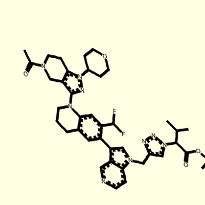 CC(=O)N1CCc2c(c(N3CCCc4cc(-c5cn(Cc6cn(C(C(=O)OC(C)(C)C)C(C)C)nn6)c6ccncc56)c(C(F)F)cc43)nn2C2CCOCC2)C1